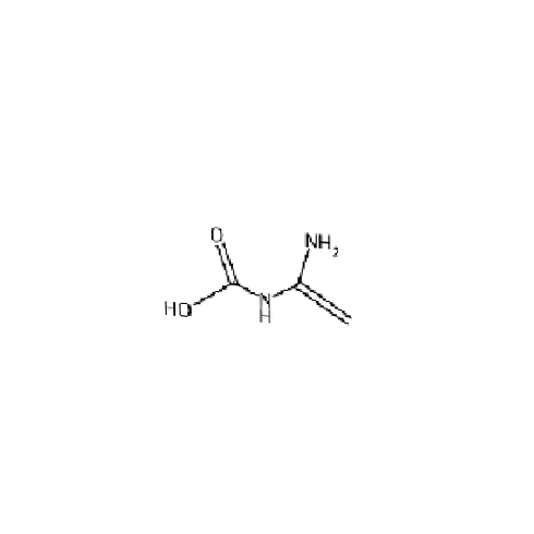 C=C(N)NC(=O)O